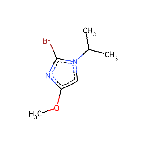 COc1cn(C(C)C)c(Br)n1